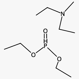 CCN(C)CC.CCO[PH](=O)OCC